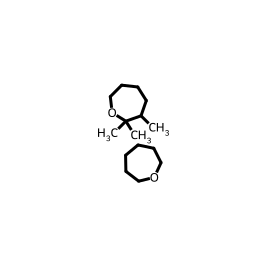 C1CCCOCC1.CC1CCCCOC1(C)C